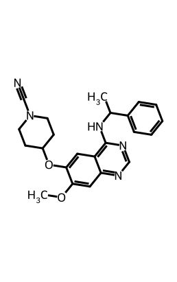 COc1cc2ncnc(NC(C)c3ccccc3)c2cc1OC1CCN(C#N)CC1